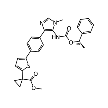 COC(=O)C1(c2ccc(-c3ccc(-c4ncn(C)c4NC(=O)O[C@H](C)c4ccccc4)cc3)s2)CC1